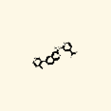 Cc1ccncc1-c1ccc2cnc(Nc3cc(C(F)F)ccn3)cc2c1